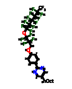 CCCCCCCCc1cnc(-c2ccc(OCC(F)(F)C(F)(F)OC(F)(F)C(F)(F)C(F)(F)C(F)(F)C(F)(F)C(F)(F)F)cc2)nc1